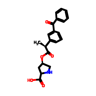 C[C@H](C(=O)O[C@H]1CNC(C(=O)O)C1)c1cccc(C(=O)c2ccccc2)c1